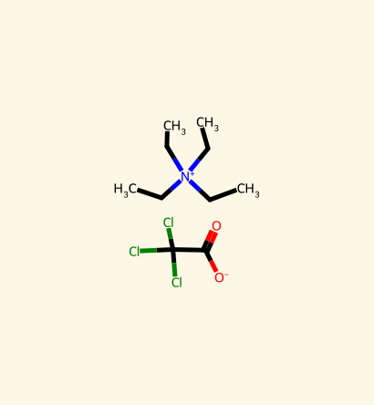 CC[N+](CC)(CC)CC.O=C([O-])C(Cl)(Cl)Cl